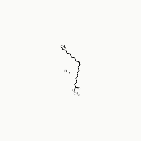 CCCCCCCC/C=C\CCCCCCCC(=O)OC.P